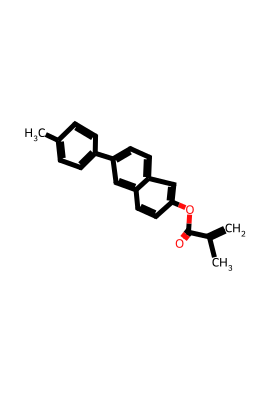 C=C(C)C(=O)Oc1ccc2cc(-c3ccc(C)cc3)ccc2c1